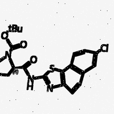 CC(C)(C)OC(=O)N1CCC[C@@H]1C(=O)Nc1nc2ccc3cc(Cl)ccc3c2s1